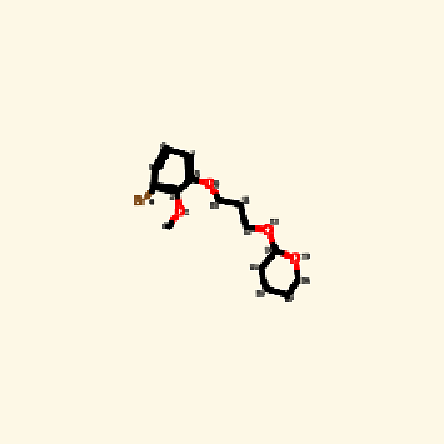 COc1c(Br)cccc1OCCCOC1CCCCO1